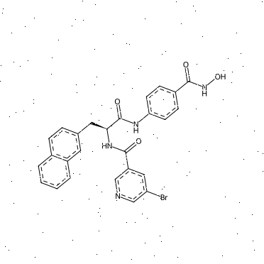 O=C(NO)c1ccc(NC(=O)[C@H](Cc2ccc3ccccc3c2)NC(=O)c2cncc(Br)c2)cc1